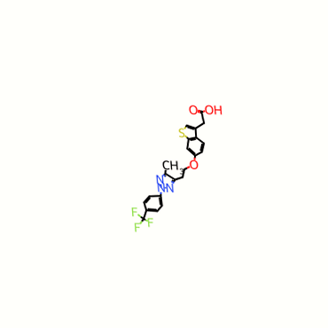 Cc1nn(-c2ccc(C(F)(F)F)cc2)nc1CCOc1ccc2c(CC(=O)O)csc2c1